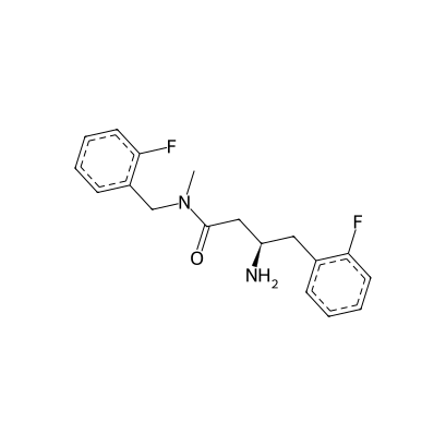 CN(Cc1ccccc1F)C(=O)C[C@H](N)Cc1ccccc1F